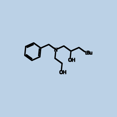 CC(C)(C)CC(O)CN(CCO)Cc1ccccc1